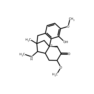 CNC1C2CC(OC)C(=O)C[C@]23CC1(C)Cc1ccc(OC)c(O)c13